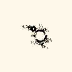 C=CC[C@H]1C(=O)C(C)(C)CCC(=O)O[C@H](c2ccc3sc(C)nc3c2)C[C@H](C)C(C)(C)CCC[C@H](C)[C@@H]1O